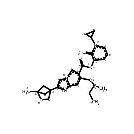 CC[C@H](C)Oc1cc2nc(C34COC(C)(C3)C4)cn2cc1C(=O)Nc1cccn(C2CC2)c1=O